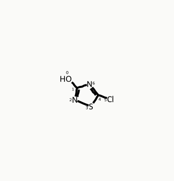 Oc1nsc(Cl)n1